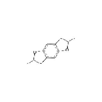 CC1Cc2cc3c(cc2O1)CC(C)O3